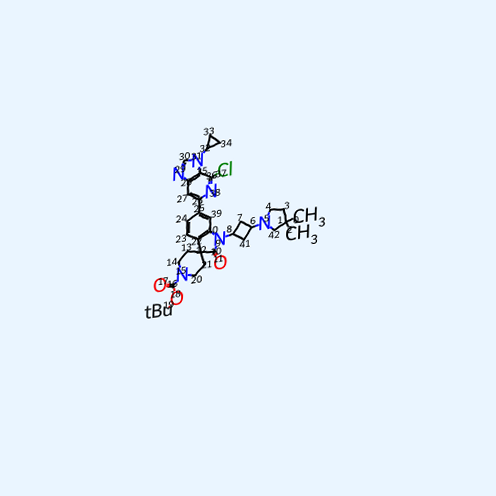 CC1(C)CCN(C2CC(N3C(=O)C4(CCN(C(=O)OC(C)(C)C)CC4)c4ccc(-c5cc6ncn(C7CC7)c6c(Cl)n5)cc43)C2)C1